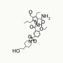 CCCc1c(C=O)c(CC)c(C(N)=O)n1NC(=O)c1cc(S(=O)(=O)N2CCC(CCO)CC2)ccc1OCC